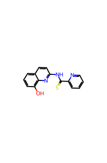 Oc1cccc2ccc(NC(=S)c3ccccn3)nc12